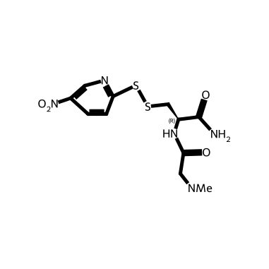 CNCC(=O)N[C@@H](CSSc1ccc([N+](=O)[O-])cn1)C(N)=O